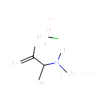 C=C(C(=O)O)C(C)N(C)C.CCl.O.O.O.O